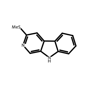 CSc1cc2c(cn1)[nH]c1ccccc12